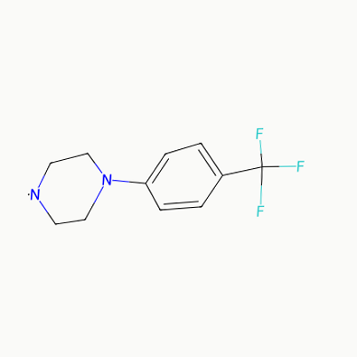 FC(F)(F)c1ccc(N2CC[N]CC2)cc1